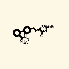 CCCCC(C)/N=C(Cl)\C(=N\Cc1ccc(-c2ccccc2C(=N)N/N=N\C)cc1)C(=O)O